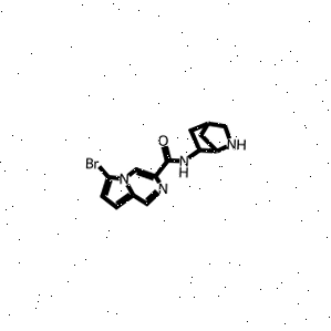 O=C(NC1CC2CNC1C2)c1cn2c(Br)ccc2cn1